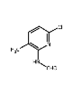 Cc1ccc(Cl)nc1NC=O